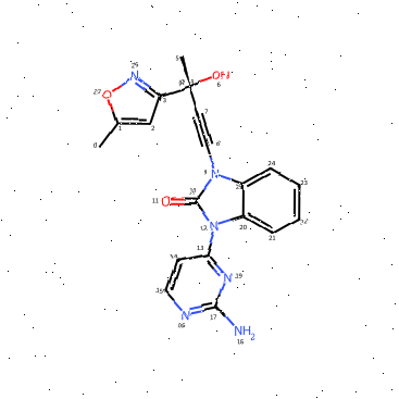 Cc1cc([C@](C)(O)C#Cn2c(=O)n(-c3ccnc(N)n3)c3ccccc32)no1